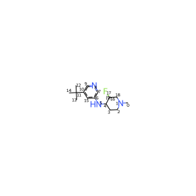 CN1CCC(Nc2cncc(C(C)(C)C)c2)[C@@H](F)C1